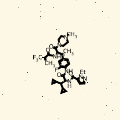 CCn1nccc1C(=O)N[C@H](C(=O)Nc1ccc([C@H](C)[C@@H](NC(=O)[C@@H](C)C(F)(F)F)C(=O)N2CCN(C)CC2)cc1F)C(C1CC1)C1CC1